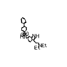 CCN(CC)CCc1c[nH]c2cc(NS(=O)(=O)c3ccc(-c4ccccc4)cc3)ccc12